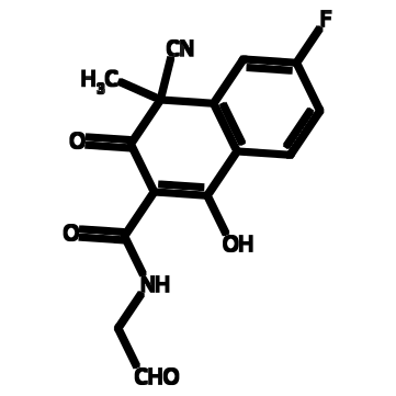 CC1(C#N)C(=O)C(C(=O)NCC=O)=C(O)c2ccc(F)cc21